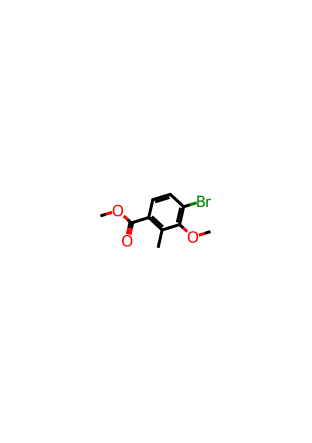 COC(=O)c1ccc(Br)c(OC)c1C